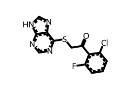 O=C(CSc1ncnc2[nH]cnc12)c1c(F)cccc1Cl